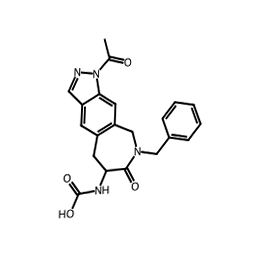 CC(=O)n1ncc2cc3c(cc21)CN(Cc1ccccc1)C(=O)C(NC(=O)O)C3